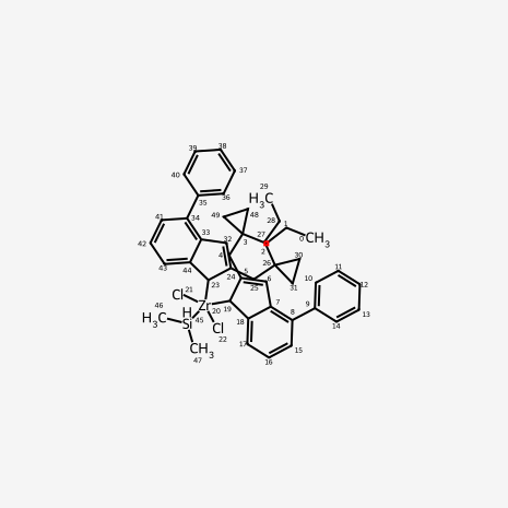 CCCC1(CC2=Cc3c(-c4ccccc4)cccc3[CH]2[Zr]([Cl])([Cl])([CH]2C(CC3(CCC)CC3)=Cc3c(-c4ccccc4)cccc32)[SiH](C)C)CC1